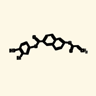 C=CC(=O)Oc1ccc2cc(C(=O)Oc3ccc(O)c(CC)c3)ccc2c1